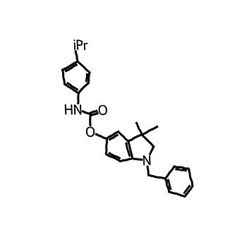 CC(C)c1ccc(NC(=O)Oc2ccc3c(c2)C(C)(C)CN3Cc2ccccc2)cc1